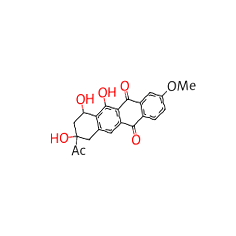 COc1ccc2c(c1)C(=O)c1c(cc3c(c1O)C(O)CC(O)(C(C)=O)C3)C2=O